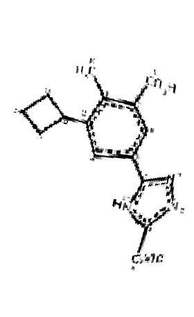 COc1nnc(-c2cc(C(=O)O)c(C)c(C3CCC3)c2)[nH]1